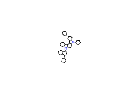 c1ccc(-c2ccc3c(c2)c2c4c5ccccc5n(-c5ccc(-c6ccccc6)c6ccccc56)c4ccc2n3-c2ccccc2)cc1